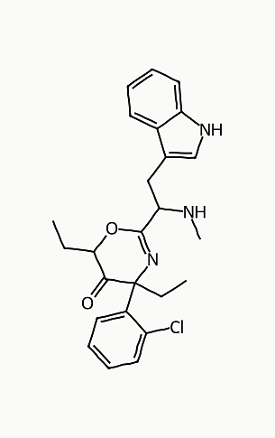 CCC1OC(C(Cc2c[nH]c3ccccc23)NC)=NC(CC)(c2ccccc2Cl)C1=O